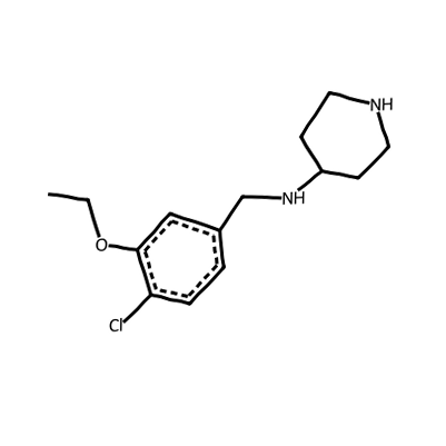 CCOc1cc(CNC2CCNCC2)ccc1Cl